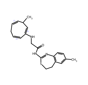 Cc1ccc2c(c1)CCSC(NC(=O)CNC1=C/C(C)/C=C\C/C=C\1)=N2